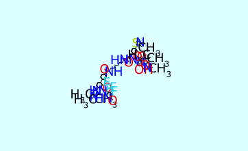 Cc1cc([C@H](C(=O)N2C[C@H](O)C[C@H]2C(=O)N[C@@H](CC(=O)NCCCCCCNC(=O)c2ccc(-c3ccc(N4C[C@@H](C)N(C)[C@@H](C)C4)c(NC(=O)c4c[nH]c(=O)cc4C(F)(F)F)c3)c(F)c2)c2ccc(-c3scnc3C)cc2)C(C)C)on1